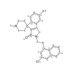 CN1CCC(C2=CCN(CCc3cc(Cl)cc4ccccc34)C2=O)(c2ccc(F)cc2)CC1